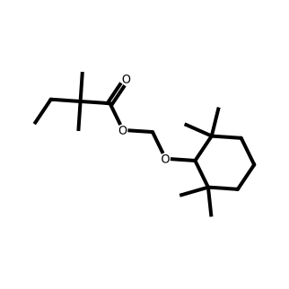 CCC(C)(C)C(=O)OCOC1C(C)(C)CCCC1(C)C